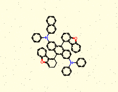 C1=c2oc3ccccc3c2=C(c2c3cc(N(c4ccccc4)c4ccccc4)ccc3c(-c3cccc4oc5ccccc5c34)c3cc(N(c4ccccc4)c4ccc5ccccc5c4)ccc23)CC1